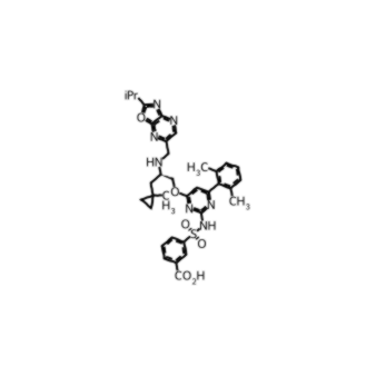 Cc1cccc(C)c1-c1cc(OC[C@@H](CC2(C)CC2)NCc2cnc3nc(C(C)C)oc3n2)nc(NS(=O)(=O)c2cccc(C(=O)O)c2)n1